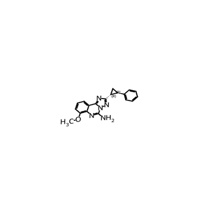 COc1cccc2c1nc(N)n1nc([C@@H]3C[C@H]3c3ccccc3)nc21